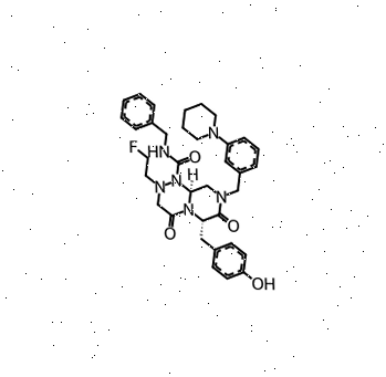 O=C1[C@H](Cc2ccc(O)cc2)N2C(=O)CN(CCF)N(C(=O)NCc3ccccc3)[C@H]2CN1Cc1cccc(N2CCCCC2)c1